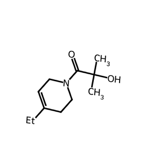 CCC1=CCN(C(=O)C(C)(C)O)CC1